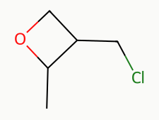 CC1OCC1CCl